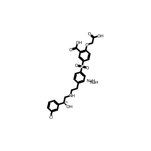 O=C(O)COc1ccc(S(=O)(=O)c2ccc(CCNC[C@@H](O)c3cccc(Cl)c3)cc2)cc1C(=O)O.[NaH].[NaH]